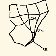 CC12C3CCC4C5CC6C7C8CC3C81C71C56C4(C)C21C